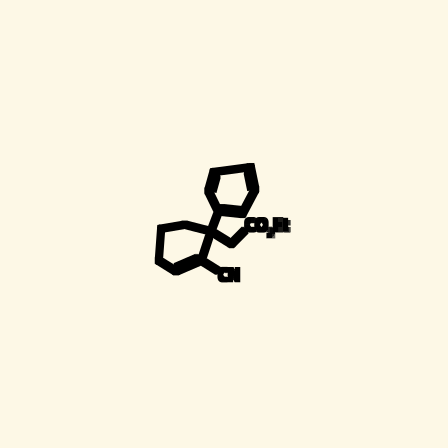 CCOC(=O)CC1(c2ccccc2)CCCC=C1C#N